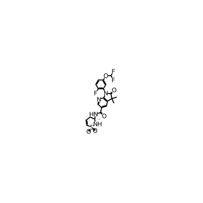 CC1(C)C(=O)N(c2cc(OC(F)F)ccc2F)c2ncc(C(=O)N[C@]3(C)CC=CS(=O)(=O)N3)cc21